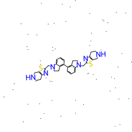 c1cc(-c2cccc3c2CCN3Cc2nc3c(s2)CNCC3)c2c(c1)N(Cc1nc3c(s1)CNCC3)CC2